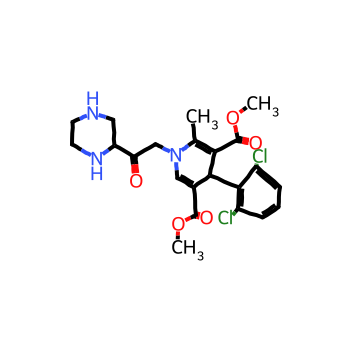 COC(=O)C1=CN(CC(=O)C2CNCCN2)C(C)=C(C(=O)OC)C1c1c(Cl)cccc1Cl